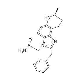 C[C@H]1CCc2c(ccc3c2nc(Cc2ccccc2)n3CC(N)=O)N1